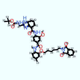 COc1cc(C(=O)N(C)c2ccc(C)cc2OCCCCCCN2C(=O)c3ccccc3C2=O)ccc1NC(=O)c1cccc2[nH]c(CNC(=O)OC(C)(C)C)nc12